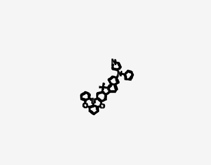 CC1(C)c2cc3c(cc2-c2ccc4cc(N(c5ccccc5)c5ccncc5)ccc4c21)Oc1cccc2c1B3c1ccccc1O2